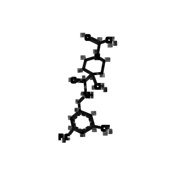 CC1(C(=O)NCc2cc(C(F)(F)F)cc(C(F)(F)F)c2)CCN(C(=O)C(F)(F)F)CC1